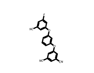 N#Cc1cc(F)cc(Oc2cccc(Oc3cc(C#N)cc(C#N)c3)c2)c1